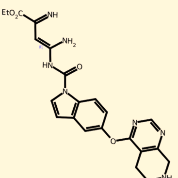 CCOC(=O)C(=N)/C=C(\N)NC(=O)n1ccc2cc(Oc3ncnc4c3CCNC4)ccc21